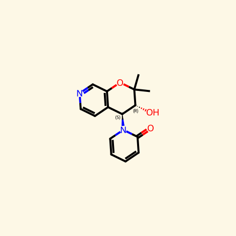 CC1(C)Oc2cnccc2[C@H](n2ccccc2=O)[C@H]1O